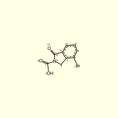 O=C(O)N1Cc2c(Br)cccc2C1=O